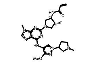 C=CC(=O)N[C@@H]1CN(c2nc(Nc3cn(C4CCN(C)C4)nc3OC)c3ncn(C)c3n2)C[C@@H]1F